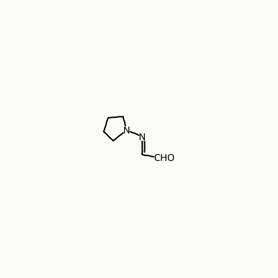 O=CC=NN1CCCC1